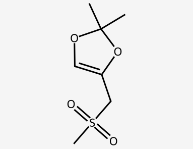 CC1(C)OC=C(CS(C)(=O)=O)O1